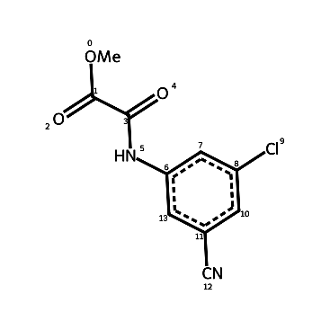 COC(=O)C(=O)Nc1cc(Cl)cc(C#N)c1